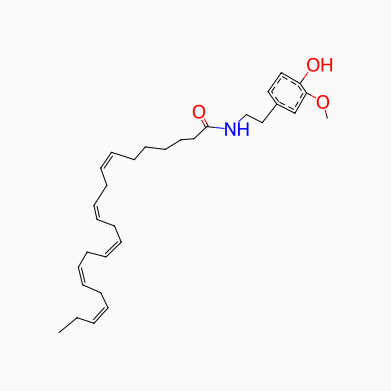 CC/C=C\C/C=C\C/C=C\C/C=C\C/C=C\CCCCCC(=O)NCCc1ccc(O)c(OC)c1